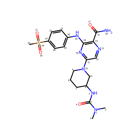 CN(C)C(=O)NC1CCCN(c2cnc(C(N)=O)c(Nc3ccc(S(C)(=O)=O)cc3)n2)C1